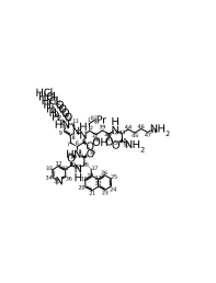 CC(C)C[C@H](NC(=O)[C@H](Cc1c[nH]cn1)NC(=O)[C@H](Cc1cccc2ccccc12)NC(=O)c1cccnc1)[C@@H](O)CC(=O)N[C@@H](CCCCN)C(N)=O.Cl.Cl.Cl.O.O.O.O